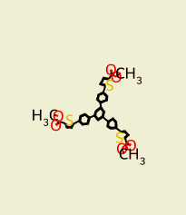 COC(=O)c1ccc(-c2ccc(-c3cc(-c4ccc(-c5ccc(C(=O)OC)s5)cc4)cc(-c4ccc(-c5ccc(C(=O)OC)s5)cc4)c3)cc2)s1